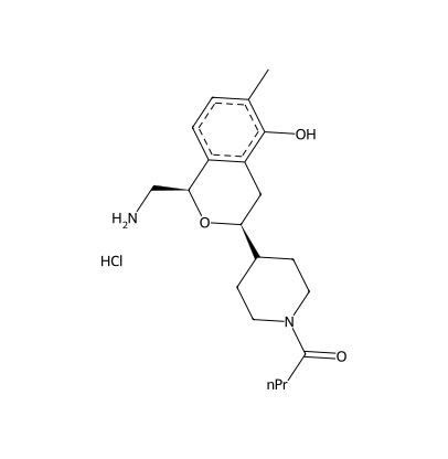 CCCC(=O)N1CCC([C@@H]2Cc3c(ccc(C)c3O)[C@H](CN)O2)CC1.Cl